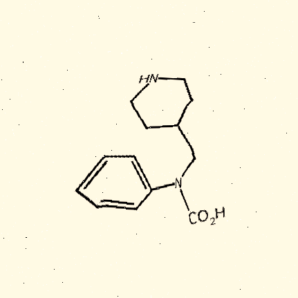 O=C(O)N(CC1CCNCC1)c1ccccc1